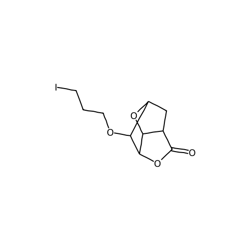 O=C1OC2C(OCCCI)C3CC1C2O3